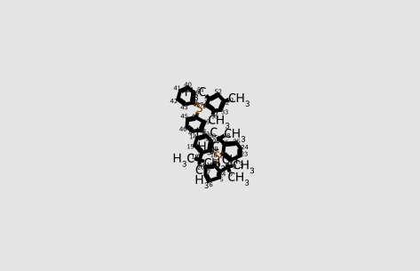 CC(C)(C)c1ccccc1[S+](c1ccccc1C(C)(C)C)c1ccccc1C(C)(C)C.Cc1cc(C)c([S+](c2ccccc2)c2ccccc2)c(C)c1